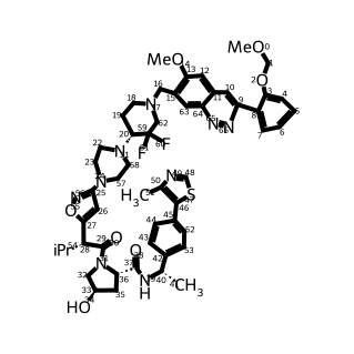 COCOc1ccccc1-c1cc2cc(OC)c(CN3CC[C@@H](N4CCN(c5cc([C@H](C(=O)N6C[C@H](O)C[C@H]6C(=O)N[C@@H](C)c6ccc(-c7scnc7C)cc6)C(C)C)on5)CC4)C(F)(F)C3)cc2nn1